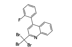 Fc1ccccc1-c1cc(C(Br)(Br)Br)nc2ccccc12